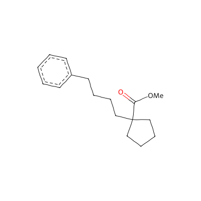 COC(=O)C1(CCCCc2ccccc2)CCCC1